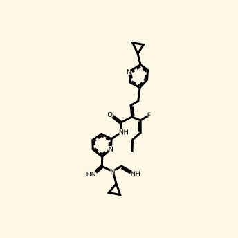 CC/C=C(F)\C(=C/Cc1ccc(C2CC2)nc1)C(=O)Nc1cccc(C(=N)N(C=N)C2CC2)n1